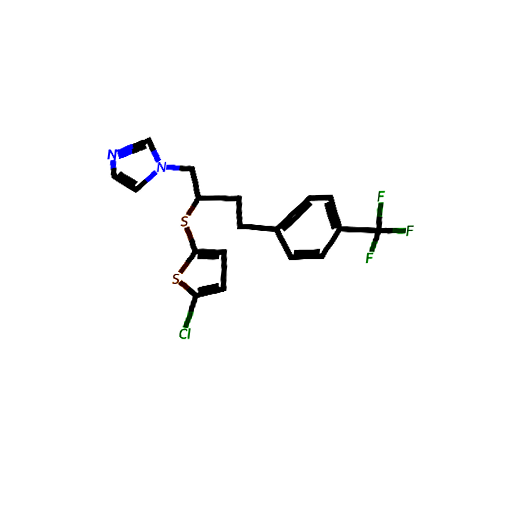 FC(F)(F)c1ccc(CCC(Cn2ccnc2)Sc2ccc(Cl)s2)cc1